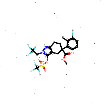 COC(=O)C1(c2cccc(F)c2C)CCc2nn(CC(F)(F)F)c(OS(=O)(=O)C(F)(F)F)c2C1